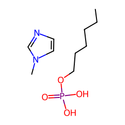 CCCCCCOP(=O)(O)O.Cn1ccnc1